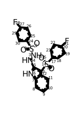 O=S(=O)(NNc1[nH]c2ccccc2c1S(=O)(=O)c1ccc(F)cc1)c1ccc(F)cc1